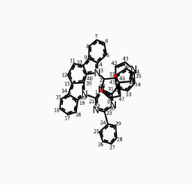 C1=CC(n2c3ccccc3c3ccc4c5ccccc5n(-c5nc(-c6ccccc6)nc(-c6ccccc6)n5)c4c32)C2C=CN=CC2=C1